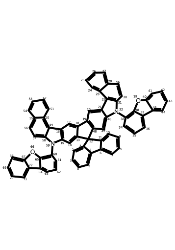 c1ccc2c(c1)-c1ccccc1C21c2cc3c(cc2-c2cc4c5c6ccccc6ccc5n(-c5cccc6c5oc5ccccc56)c4cc21)c1c2ccccc2ccc1n3-c1cccc2c1oc1ccccc12